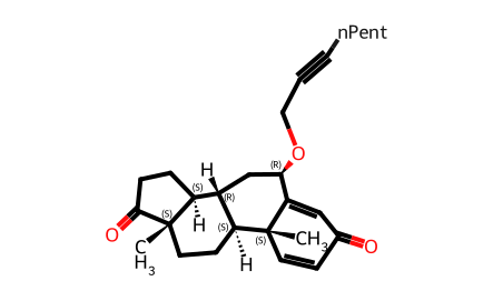 CCCCCC#CCO[C@@H]1C[C@@H]2[C@H](CC[C@]3(C)C(=O)CC[C@@H]23)[C@@]2(C)C=CC(=O)C=C12